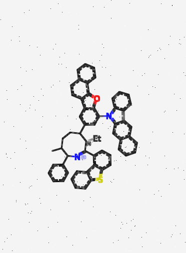 CC[C@@H]1/C(c2cccc3sc4ccccc4c23)=N\C(c2ccccc2)C(C)CCC1c1cc(-n2c3ccccc3c3cc4ccccc4cc32)c2oc3c4ccccc4ccc3c2c1